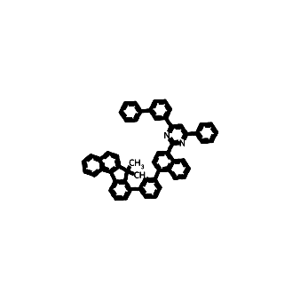 CC1(C)c2ccc3ccccc3c2-c2cccc(-c3cccc(-c4ccc(-c5nc(-c6ccccc6)cc(-c6cccc(-c7ccccc7)c6)n5)c5ccccc45)c3)c21